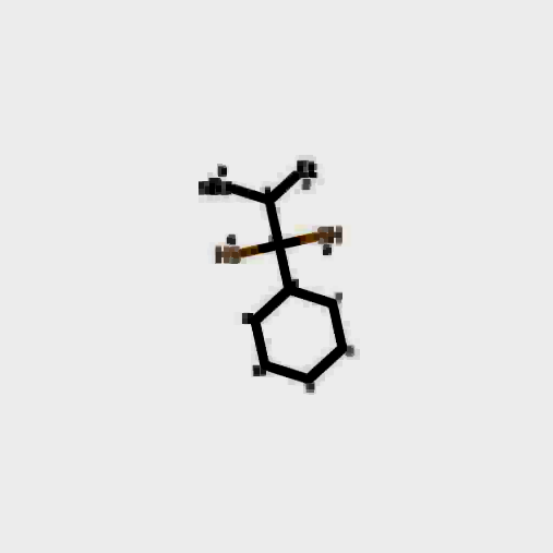 CCCCC(CC)C(S)(S)C1CCCCC1